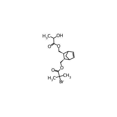 CC(O)C(=O)OC[C@H]1C2C=CC(C2)[C@H]1COC(=O)C(C)(C)Br